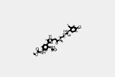 COC(=O)Nc1ccc(-c2c[nH]c(CC(=O)N(C)CCOC(=O)Nc3ccc(Cl)cc3C)n2)c(NC=O)c1